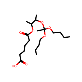 CCCCOC(C)(OCCCC)OC(C)C(C)OC(=O)CCCCC(=O)O